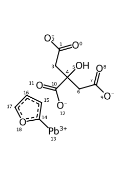 O=C([O-])CC(O)(CC(=O)[O-])C(=O)[O-].[Pb+3][c]1ccco1